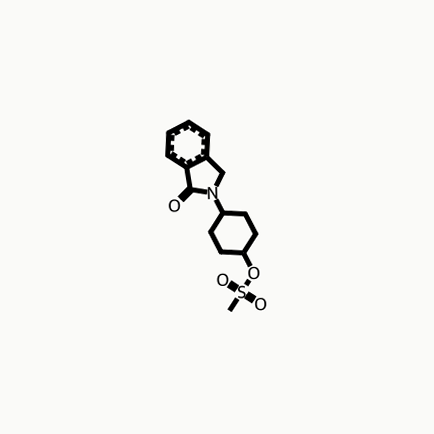 CS(=O)(=O)OC1CCC(N2Cc3ccccc3C2=O)CC1